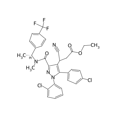 CCOC(=O)CC(C#N)c1c(C(=O)N(C)[C@H](C)c2ccc(C(F)(F)F)cc2)nn(-c2ccccc2Cl)c1-c1ccc(Cl)cc1